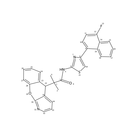 CC(C)(C(=O)Nc1nc(-c2ccc(F)c3ccccc23)cs1)C1c2ccccc2Oc2ncccc21